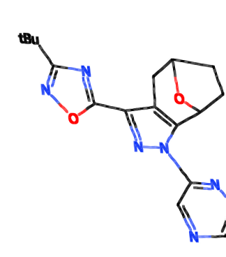 CC(C)(C)c1noc(-c2nn(-c3cnccn3)c3c2CC2CCC3O2)n1